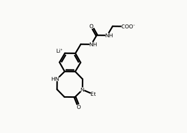 CCN1Cc2cc(CNC(=O)NCC(=O)[O-])ccc2NCCC1=O.[Li+]